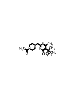 CC(=O)N1CCN(Cc2nc(C)c(C(C)(C)C)c(C)n2)CC1